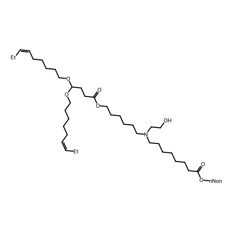 CC/C=C\CCCCCOC(CCC(=O)OCCCCCCN(CCO)CCCCCCCC(=O)OCCCCCCCCC)OCCCCC/C=C\CC